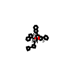 c1ccc(-c2cccc(-c3nc(-c4ccc5c(c4)sc4ccccc45)nc(-c4c(-n5c6ccccc6c6cc7ccccc7cc65)ccc5ccccc45)n3)c2)cc1